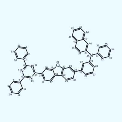 c1ccc(-c2nc(-c3ccccc3)nc(-c3ccc4c(c3)oc3cc(-c5cccc(N(c6ccccc6)c6ccc7ccccc7c6)c5)ccc34)n2)cc1